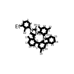 CCc1cccc(N2C=c3c4c(C)cccc4c4cc(C)cc5c6ccccc6n(c6cc(C)cc(C)c6n3[C@@H]2C)c45)c1C